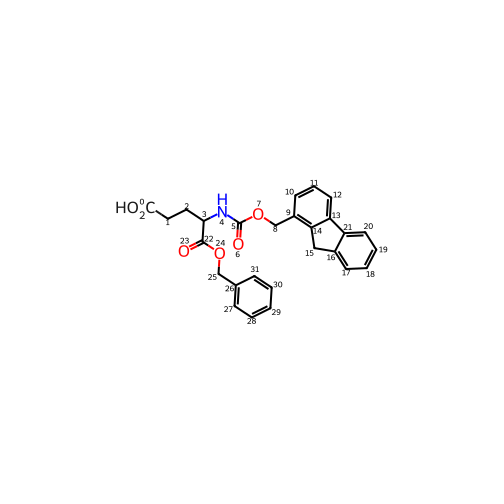 O=C(O)CCC(NC(=O)OCc1cccc2c1Cc1ccccc1-2)C(=O)OCc1ccccc1